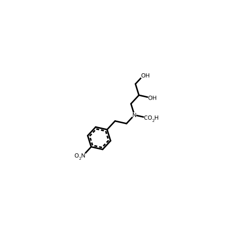 O=C(O)N(CCc1ccc([N+](=O)[O-])cc1)CC(O)CO